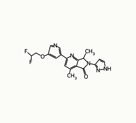 Cc1cc(-c2cncc(OCC(F)F)c2)nc2c1C(=O)N(c1cc[nH]n1)C2C